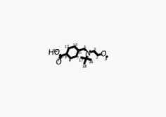 COCCN(CC1CCC(C(=O)O)CC1)C(C)(C)C